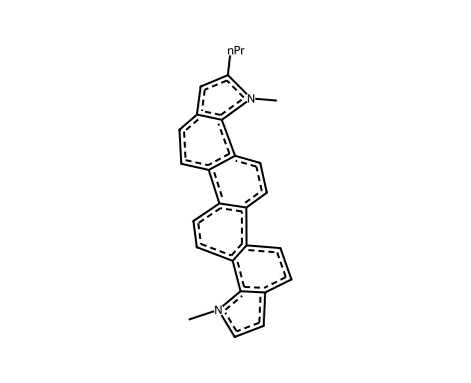 CCCc1cc2ccc3c4ccc5c(ccc6ccn(C)c65)c4ccc3c2n1C